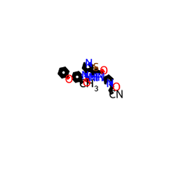 Cc1cc(Oc2ccccc2)ccc1N1C(=O)Nc2c(C(=O)N[C@@H]3CCN(C(=O)CC#N)C3)sc3nccc1c23